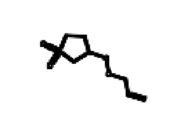 C=CCOOC1CCS(=O)(=O)C1